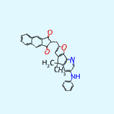 CC1(C)c2cc(Nc3ccccc3)cnc2-c2oc(CC3C(=O)c4cc5ccccc5cc4C3=O)cc21